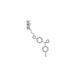 [N-]=[N+]=NCCCOc1ccc(C(=O)c2ccc(I)cc2)cc1